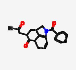 CCC(=O)CC1CC2CN(C(=O)c3ccccc3)C3=C2C(CC=C3)C1=O